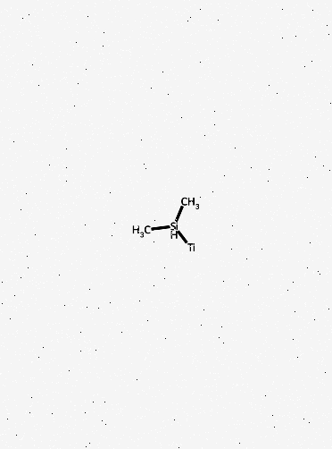 C[SiH](C)[Ti]